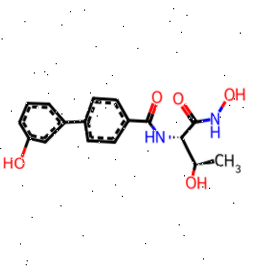 C[C@@H](O)[C@H](NC(=O)c1ccc(-c2cccc(O)c2)cc1)C(=O)NO